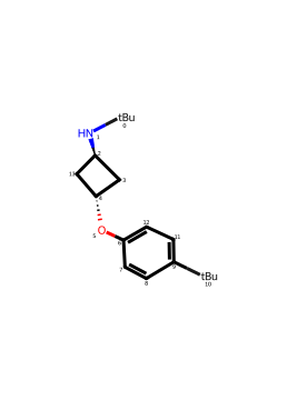 CC(C)(C)N[C@H]1C[C@H](Oc2ccc(C(C)(C)C)cc2)C1